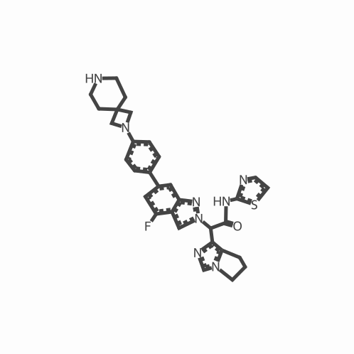 O=C(Nc1nccs1)C(c1ncn2c1CCC2)n1cc2c(F)cc(-c3ccc(N4CC5(CCNCC5)C4)cc3)cc2n1